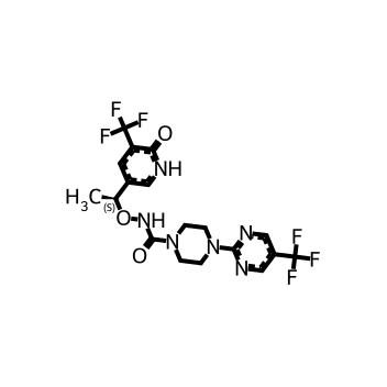 C[C@H](ONC(=O)N1CCN(c2ncc(C(F)(F)F)cn2)CC1)c1c[nH]c(=O)c(C(F)(F)F)c1